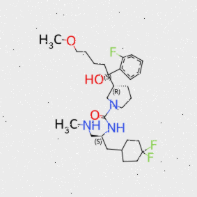 CNC[C@H](CC1CCC(F)(F)CC1)NC(=O)N1CCC[C@@H]([C@@](O)(CCCCOC)c2ccccc2F)C1